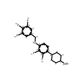 CCCC1CCC(c2ccc(OCc3cc(F)c(F)c(F)c3)c(F)c2F)CC1